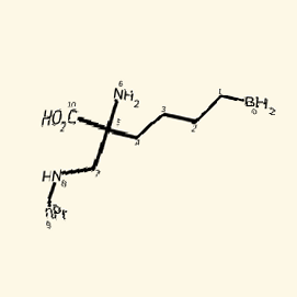 BCCCCC(N)(CNCCC)C(=O)O